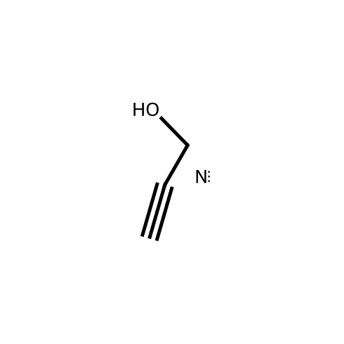 C#CCO.[N]